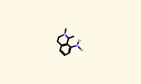 CCN(CC)c1cccc2c1C(C)N(C)CC2